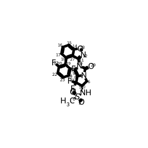 CS(=O)(=O)N[C@@H]1Cn2c(cn(-c3noc4cccc(-c5c(F)cccc5F)c34)c2=O)C1(F)F